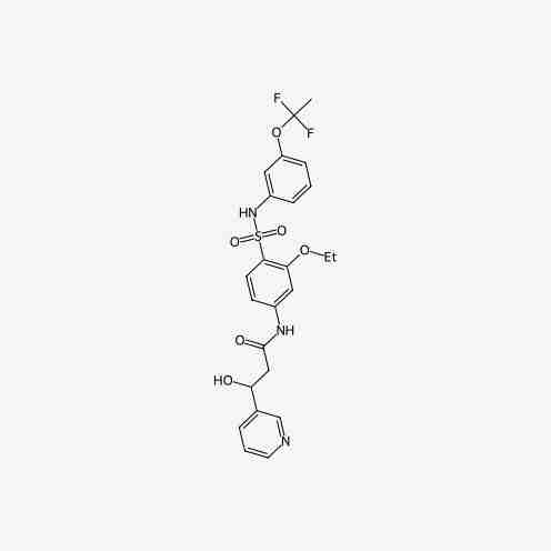 CCOc1cc(NC(=O)CC(O)c2cccnc2)ccc1S(=O)(=O)Nc1cccc(OC(C)(F)F)c1